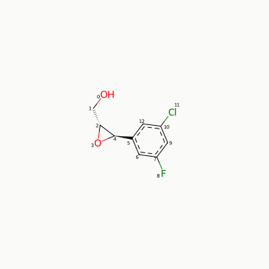 OC[C@H]1O[C@@H]1c1cc(F)cc(Cl)c1